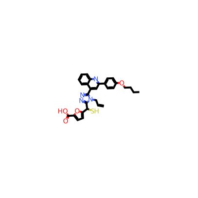 C=CCn1c(-c2cc(-c3ccc(OCCCC)cc3)nc3ccccc23)nnc1C(S)c1ccc(C(=O)O)o1